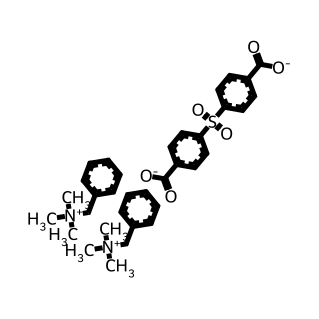 C[N+](C)(C)Cc1ccccc1.C[N+](C)(C)Cc1ccccc1.O=C([O-])c1ccc(S(=O)(=O)c2ccc(C(=O)[O-])cc2)cc1